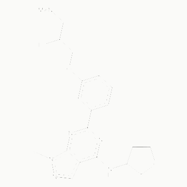 CNCC(O)COc1cccc(-c2nc(NC3CCOC3)c3cnn(C(C)C)c3n2)c1